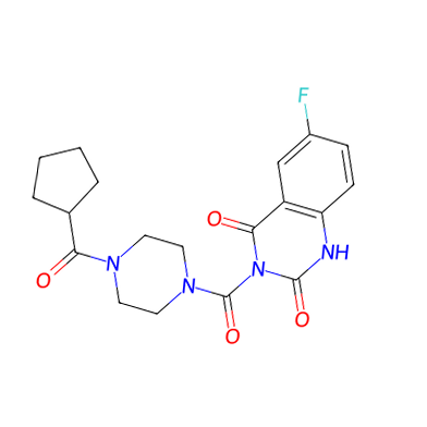 O=C(C1CCCC1)N1CCN(C(=O)n2c(=O)[nH]c3ccc(F)cc3c2=O)CC1